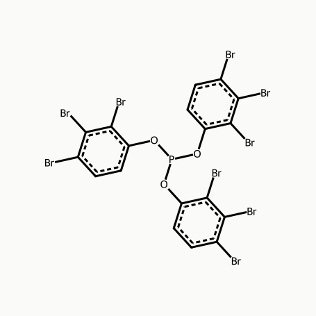 Brc1ccc(OP(Oc2ccc(Br)c(Br)c2Br)Oc2ccc(Br)c(Br)c2Br)c(Br)c1Br